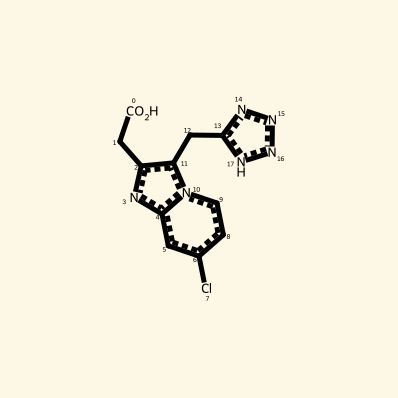 O=C(O)Cc1nc2cc(Cl)ccn2c1Cc1nnn[nH]1